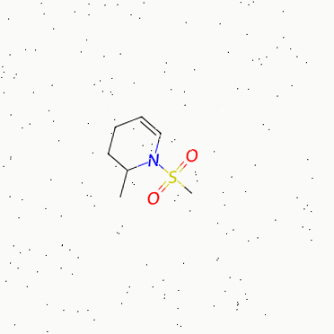 CC1CCC=CN1S(C)(=O)=O